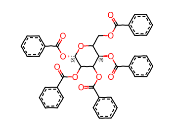 O=C(OCC1O[C@@H](OC(=O)c2ccccc2)C(OC(=O)c2ccccc2)C(OC(=O)c2ccccc2)[C@@H]1OC(=O)c1ccccc1)c1ccccc1